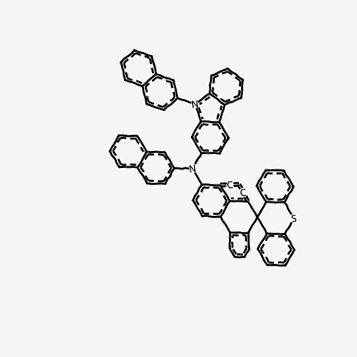 c1ccc2c(c1)Sc1ccccc1C21c2ccccc2-c2ccc(N(c3ccc4ccccc4c3)c3ccc4c5ccccc5n(-c5ccc6ccccc6c5)c4c3)c3cccc1c23